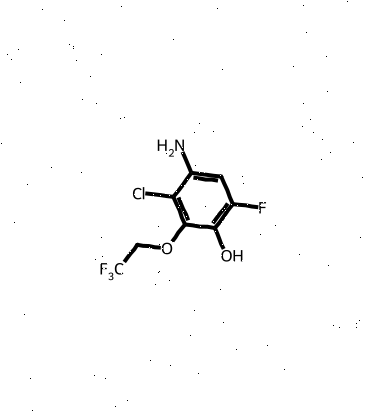 Nc1cc(F)c(O)c(OCC(F)(F)F)c1Cl